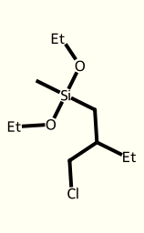 CCO[Si](C)(CC(CC)CCl)OCC